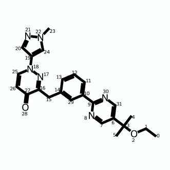 CCOC(C)(C)c1cnc(-c2cccc(Cc3nn(-c4cnn(C)c4)ccc3=O)c2)nc1